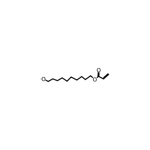 C=CC(=O)OCCCCCCCCCC[O]